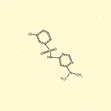 CN(C)c1cc(NS(=O)(=O)c2cccc(Cl)c2)ncn1